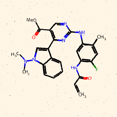 C=CC(=O)Nc1cc(Nc2ncc(C(=O)OC)c(-c3cn(N(C)C)c4ccccc34)n2)c(C)cc1F